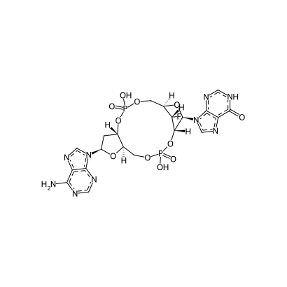 Nc1ncnc2c1ncn2[C@H]1C[C@@H]2OP(=O)(O)OC[C@H]3O[C@@H](n4cnc5c(=O)[nH]cnc54)[C@H](OP(=O)(O)OC[C@H]2O1)[C@H]3F